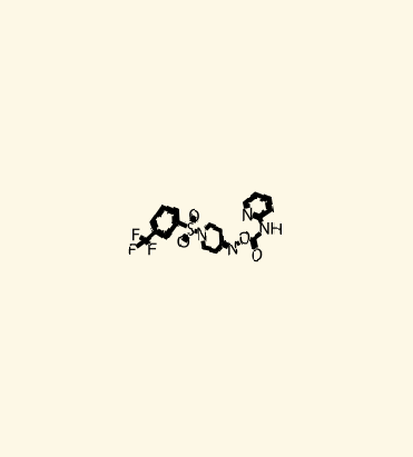 O=C(Nc1ccccn1)ON=C1CCN(S(=O)(=O)c2cccc(C(F)(F)F)c2)CC1